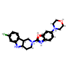 Fc1ccc2c(c1)NC1CCN(c3nc4ccc(N5CCOCC5)cc4o3)CC21